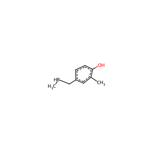 CBCc1ccc(O)c(C)c1